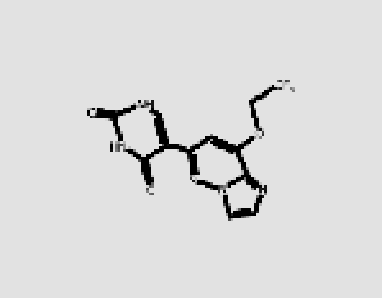 O=c1[nH]cc(-c2cc(OCC(F)(F)F)c3nccn3n2)c(=O)[nH]1